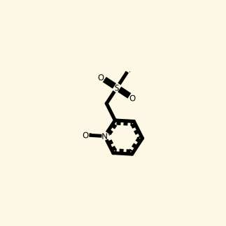 [CH2]S(=O)(=O)Cc1cccc[n+]1[O-]